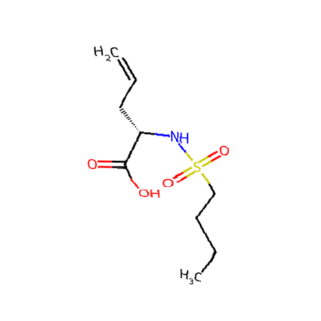 C=CC[C@H](NS(=O)(=O)CCCC)C(=O)O